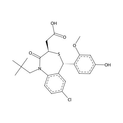 COc1cc(O)ccc1[C@H]1S[C@H](CC(=O)O)C(=O)N(CC(C)(C)C)c2ccc(Cl)cc21